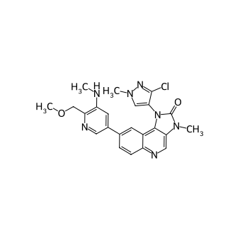 CNc1cc(-c2ccc3ncc4c(c3c2)n(-c2cn(C)nc2Cl)c(=O)n4C)cnc1COC